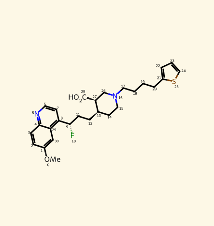 COc1ccc2nccc([C@@H](F)CC[C@@H]3CCN(CCCCc4cccs4)C[C@@H]3C(=O)O)c2c1